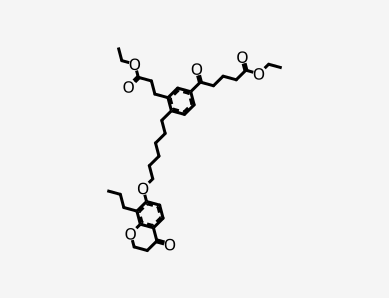 CCCc1c(OCCCCCCc2ccc(C(=O)CCCC(=O)OCC)cc2CCC(=O)OCC)ccc2c1OCCC2=O